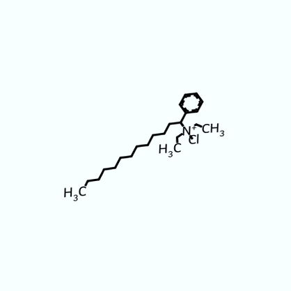 CCCCCCCCCCCCC(c1ccccc1)[N+](Cl)(CC)CC